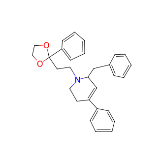 C1=C(c2ccccc2)CCN(CCC2(c3ccccc3)OCCO2)C1Cc1ccccc1